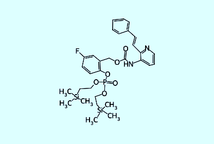 C[Si](C)(C)CCOP(=O)(OCC[Si](C)(C)C)Oc1ccc(F)cc1COC(=O)Nc1cccnc1C=Cc1ccccc1